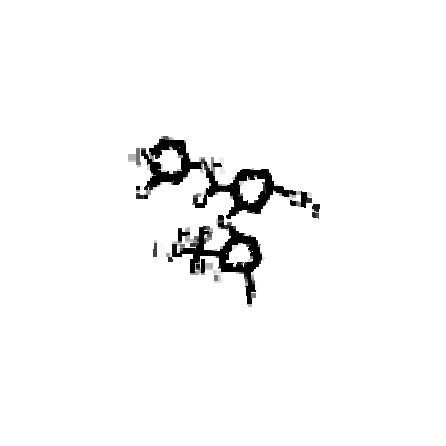 BC(B)(B)c1cc(F)ccc1Oc1cc(C(F)(F)F)ccc1C(=O)Nc1cc[nH]c(=O)c1